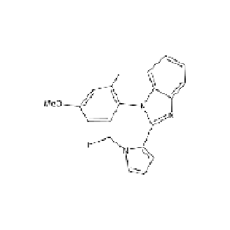 COc1ccc(-n2c(-c3cccn3CI)nc3ccccc32)c(C)c1